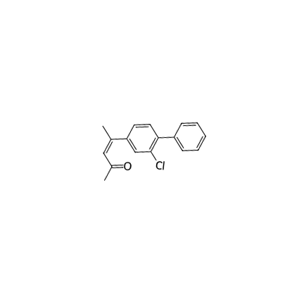 CC(=O)/C=C(/C)c1ccc(-c2ccccc2)c(Cl)c1